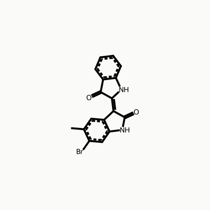 Cc1cc2c(cc1Br)NC(=O)/C2=C1\Nc2ccccc2C1=O